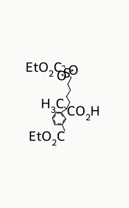 CCOC(=O)Cc1cccc(C(C)(CCCCCS(=O)(=O)CC(=O)OCC)C(=O)O)c1